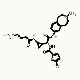 CN1CCc2ccc(NC(=O)[C@H](NC(=O)c3ccc(Cl)s3)C3CC3NC(=O)CCCC(=O)O)cc2CC1